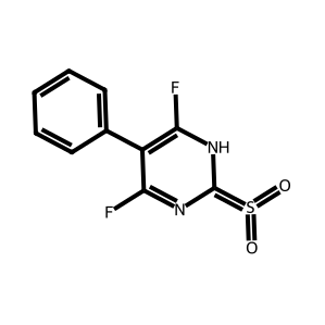 O=S(=O)=c1nc(F)c(-c2ccccc2)c(F)[nH]1